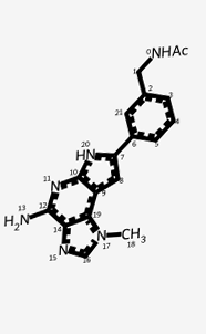 CC(=O)NCc1cccc(-c2cc3c(nc(N)c4ncn(C)c43)[nH]2)c1